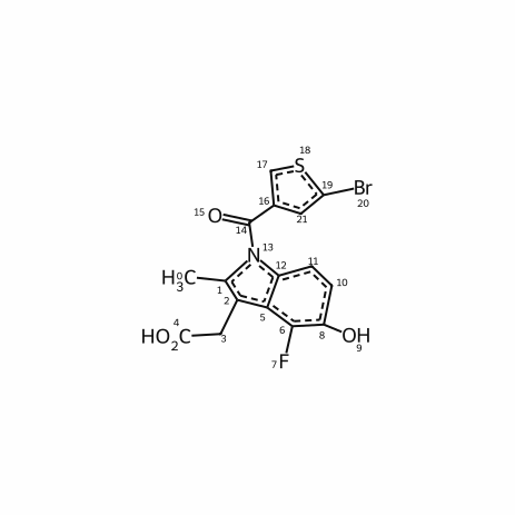 Cc1c(CC(=O)O)c2c(F)c(O)ccc2n1C(=O)c1csc(Br)c1